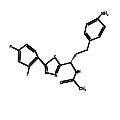 CC(=O)N[C@@H](CCc1ccc(N)cc1)c1nnc(-c2ccc(F)cc2F)s1